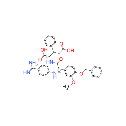 COc1cc([C@H](Nc2ccc(C(=N)N)cc2)C(=O)N[C@H](C(=O)O)C(CC(=O)O)c2ccccc2)ccc1OCc1ccccc1